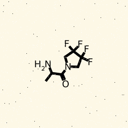 CC(N)C(=O)N1CC(F)(F)C(F)(F)C1